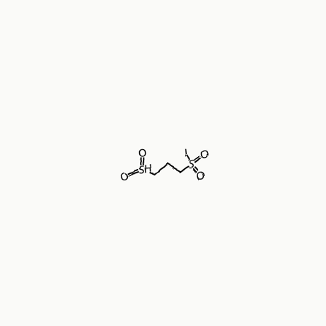 O=[SH](=O)CCCS(=O)(=O)I